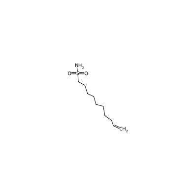 C=CCCCCCCCCS(N)(=O)=O